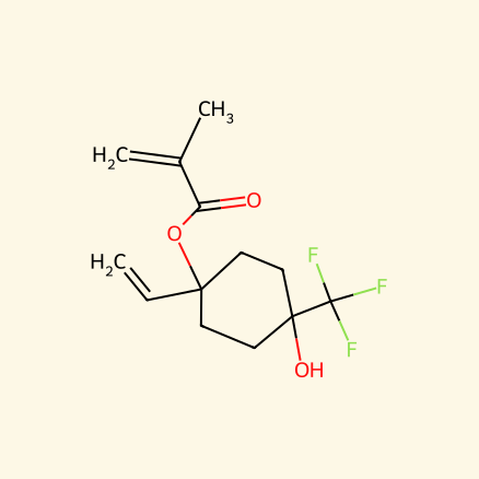 C=CC1(OC(=O)C(=C)C)CCC(O)(C(F)(F)F)CC1